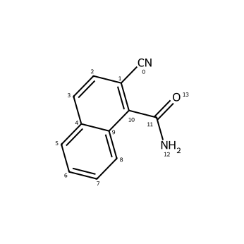 N#Cc1ccc2ccccc2c1C(N)=O